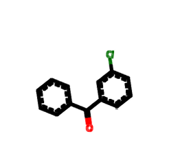 O=C(c1[c]ccc(Cl)c1)c1ccccc1